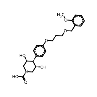 COc1ccccc1COCCCOc1ccc([C@@H]2[C@H](O)CN(C(=O)O)C[C@@H]2O)cc1